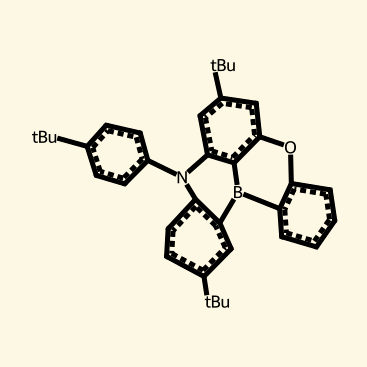 CC(C)(C)c1ccc(N2c3ccc(C(C)(C)C)cc3B3c4ccccc4Oc4cc(C(C)(C)C)cc2c43)cc1